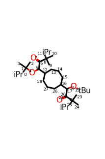 CC(C)C(C)(C)OC(C(=O)C(C)(C)C(C)C)C1CCCC(C(OC(C)(C)C)C(=O)C(C)(C)C(C)C)CCC1